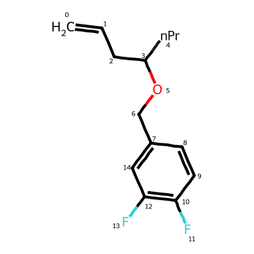 C=CCC(CCC)OCc1ccc(F)c(F)c1